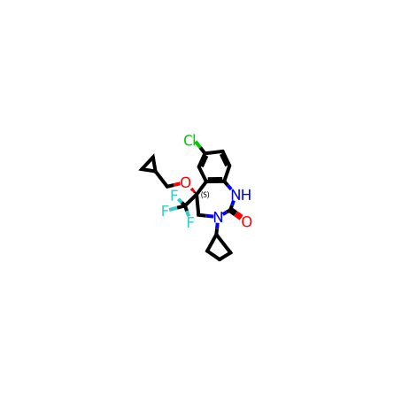 O=C1Nc2ccc(Cl)cc2[C@@](OCC2CC2)(C(F)(F)F)CN1C1CCC1